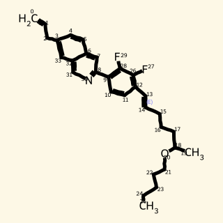 C=CCc1ccc2cc(-c3ccc(/C=C/CCCC(C)OCCCCC)c(F)c3F)ncc2c1